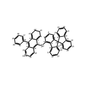 C1=c2c(Sc3cccc4c3-c3ccccc3C43c4ccccc4-c4ccccc43)c3ccncc3c(-c3ccccc3)c2=CCC1